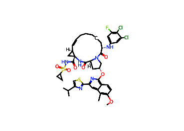 COc1ccc2c(O[C@@H]3C[C@H]4C(=O)N[C@]5(C(=O)NS(=O)(=O)C6CC6)C[C@H]5/C=C\CCCCC[C@H](Nc5cc(F)c(Cl)c(Cl)c5)C(=O)N4C3)nc(-c3nc(C(C)C)cs3)cc2c1C